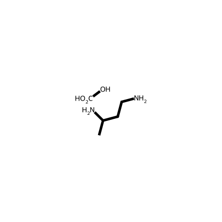 CC(N)CCN.O=C(O)O